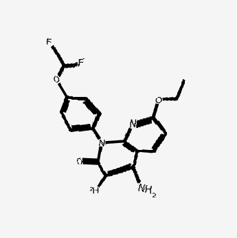 [2H]c1c(N)c2ccc(OCC)nc2n(-c2ccc(OC(F)F)cc2)c1=O